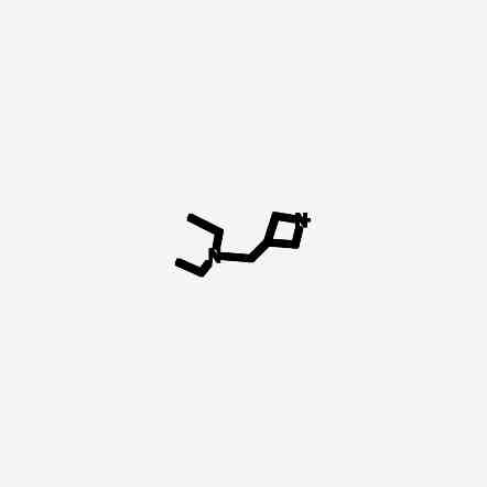 CCN(CC)CC1C[N]C1